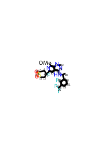 COc1nc(C2(F)CCS(=O)(=O)CC2)cc2c(NC(C)c3cccc(C(F)F)c3F)ncnc12